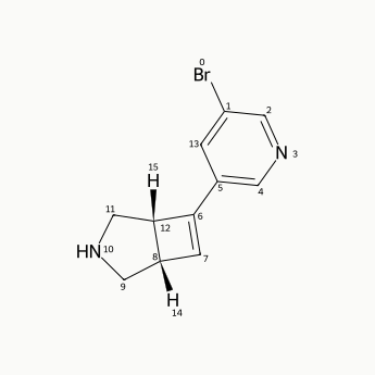 Brc1cncc(C2=C[C@@H]3CNC[C@H]23)c1